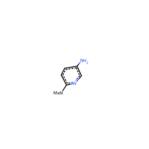 [CH]Nc1ccc(N)cn1